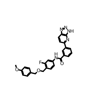 COc1ccc(COCc2ccc(NC(=O)c3cccc(-c4ccc5nn[nH]c5n4)c3)cc2F)cc1